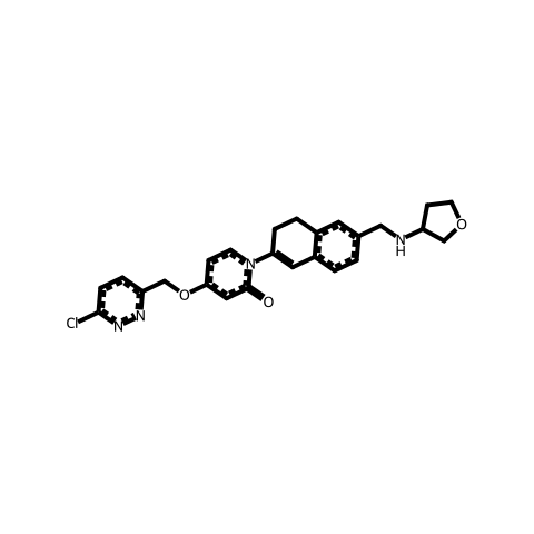 O=c1cc(OCc2ccc(Cl)nn2)ccn1C1=Cc2ccc(CNC3CCOC3)cc2CC1